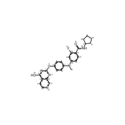 CN(c1ccc(Oc2nc(O)c3ccncc3n2)cc1)c1ccc(C(=O)NC2CCCC2)c(F)c1